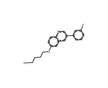 OCCCCOc1ccc2ncc(-c3cccc(F)c3)cc2c1